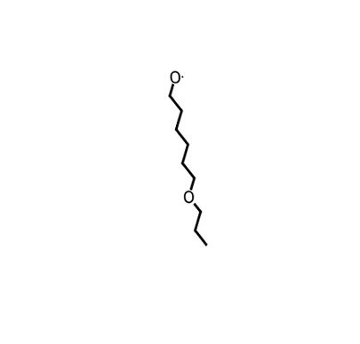 CCCOCCCCCC[O]